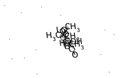 CCC(=O)O[C@]1(C(=O)CI)[C@H](C)C[C@H]2[C@@H]3CCC4=CC(=O)C=C[C@]4(C)[C@@]3(F)[C@@H](O)C[C@@]21C